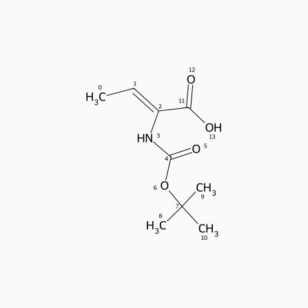 CC=C(NC(=O)OC(C)(C)C)C(=O)O